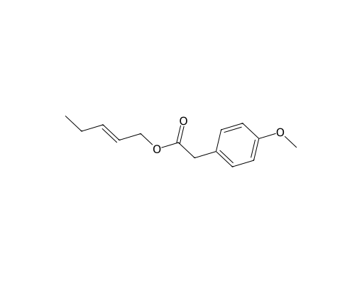 CCC=CCOC(=O)Cc1ccc(OC)cc1